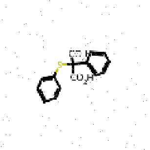 O=C(O)C(Sc1ccccc1)(C(=O)O)c1ccccc1